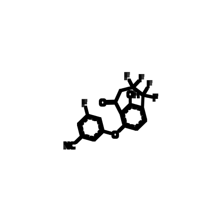 N#Cc1cc(F)cc(Oc2ccc3c(O)c2C(=O)CC(F)(F)C3(F)F)c1